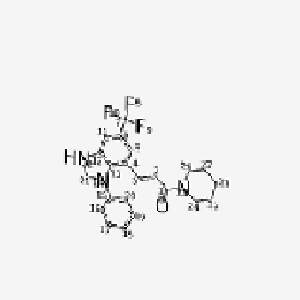 O=C(C=Cc1cc(C(F)(F)F)cc2c1N(c1ccccc1)CN2)N1CCCCC1